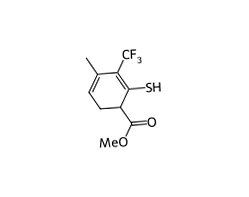 COC(=O)C1CC=C(C)C(C(F)(F)F)=C1S